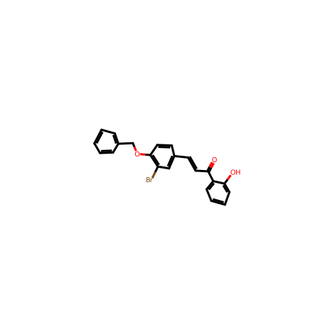 O=C(/C=C/c1ccc(OCc2ccccc2)c(Br)c1)c1ccccc1O